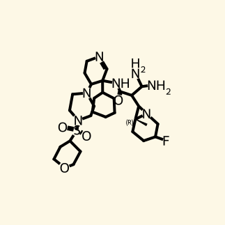 C[C@]12CCC(F)CN1C2C(C(=O)NC1(C2CCCCC2)C=NCCC1N1CCN(S(=O)(=O)C2CCOCC2)CC1)C(N)N